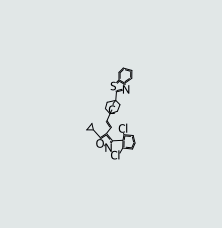 Clc1cccc(Cl)c1-c1noc(C2CC2)c1/C=C/C12CCC(c3nc4ccccc4s3)(CC1)CC2